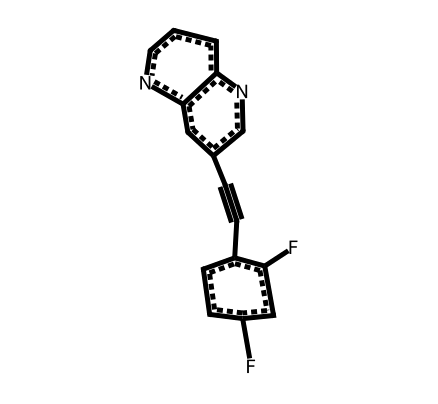 Fc1ccc(C#Cc2cnc3cccnc3c2)c(F)c1